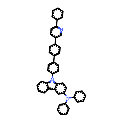 c1ccc(-c2ccc(-c3ccc(-c4ccc(-n5c6ccccc6c6cc(N(c7ccccc7)c7ccccc7)ccc65)cc4)cc3)cn2)cc1